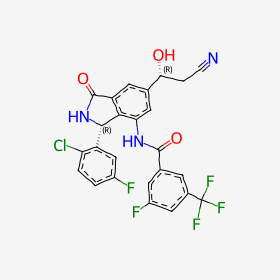 N#CC[C@@H](O)c1cc(NC(=O)c2cc(F)cc(C(F)(F)F)c2)c2c(c1)C(=O)N[C@H]2c1cc(F)ccc1Cl